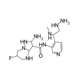 CNC(CNN)c1ccncc1NC(=O)C1C(N)NN2CC(F)CNC12